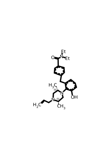 C=CCN1C[C@H](C)N(c2c(O)cccc2Cc2ccc(C(=O)N(CC)CC)cc2)C[C@@H]1C